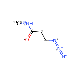 [13CH3][15NH]C(=O)CCN=[N+]=[N-]